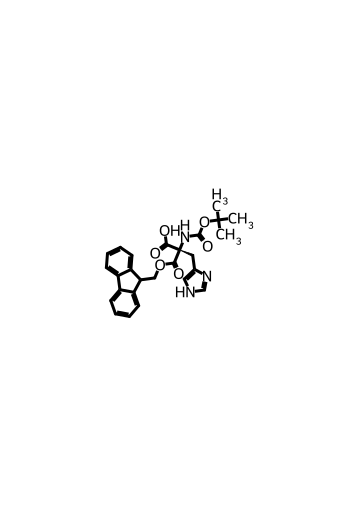 CC(C)(C)OC(=O)N[C@@](Cc1c[nH]cn1)(C(=O)O)C(=O)OCC1c2ccccc2-c2ccccc21